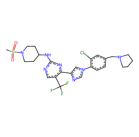 CS(=O)(=O)N1CCC(Nc2ncc(C(F)(F)F)c(-c3cn(-c4ccc(CN5CCCC5)cc4Cl)cn3)n2)CC1